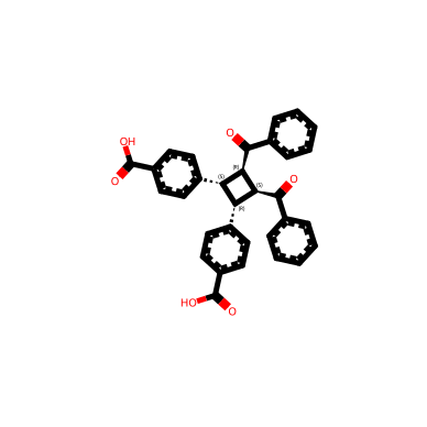 O=C(O)c1ccc([C@@H]2[C@@H](C(=O)c3ccccc3)[C@@H](C(=O)c3ccccc3)[C@@H]2c2ccc(C(=O)O)cc2)cc1